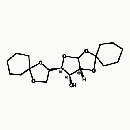 O[C@H]1[C@@H](C2COC3(CCCCC3)O2)OC2OC3(CCCCC3)O[C@@H]21